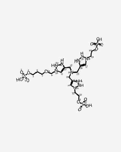 O=S(=O)(O)OCCCOCN1C=C(CN(CC2=CN(CCOS(=O)(=O)O)NN2)CC2=CN(CCOS(=O)(=O)O)NN2)NN1